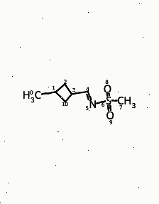 CC1CC(/C=N/S(C)(=O)=O)C1